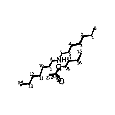 CCCCCCCNCCCCCCC.CCCCOC(C)=O